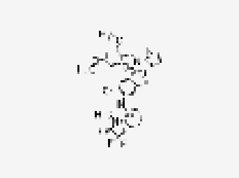 COc1ccc(CN(c2nccs2)S(=O)(=O)c2cc(Cl)c(N[C@H]3CCCC[C@@H]3N(C)C(=O)C(F)(F)F)cc2F)c(OC)c1